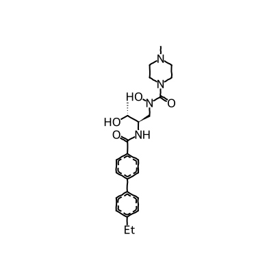 CCc1ccc(-c2ccc(C(=O)N[C@H](CN(O)C(=O)N3CCN(C)CC3)[C@@H](C)O)cc2)cc1